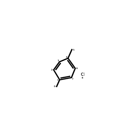 Cc1ccc(C)cc1.[C]